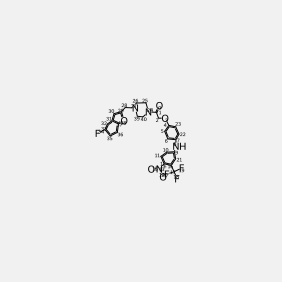 O=C(COc1ccc(Nc2ccc([N+](=O)[O-])c(C(F)(F)F)c2)cc1)N1CCN(Cc2cc3cc(F)ccc3o2)CC1